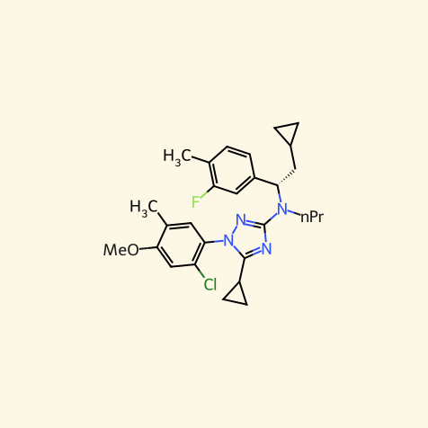 CCCN(c1nc(C2CC2)n(-c2cc(C)c(OC)cc2Cl)n1)[C@@H](CC1CC1)c1ccc(C)c(F)c1